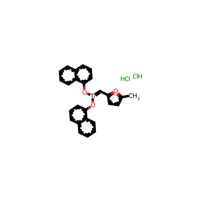 Cc1ccc([CH]=[Ti]([O]c2cccc3ccccc23)[O]c2cccc3ccccc23)o1.Cl.Cl